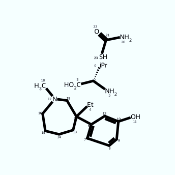 CC(C)[C@H](N)C(=O)O.CCC1(c2cccc(O)c2)CCCCN(C)C1.NC(=O)S